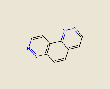 c1cc2c(ccc3ccnnc32)nn1